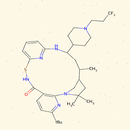 CC1CC(C2CCN(CCC(F)(F)F)CC2)Nc2cccc(n2)SNC(=O)c2ccc(C(C)(C)C)nc2N2CC1CC2(C)C